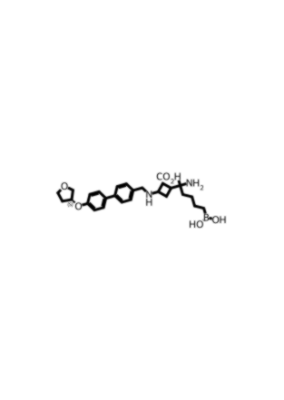 NC(CCCCB(O)O)(C(=O)O)C1CC(NCc2ccc(-c3ccc(O[C@H]4CCOC4)cc3)cc2)C1